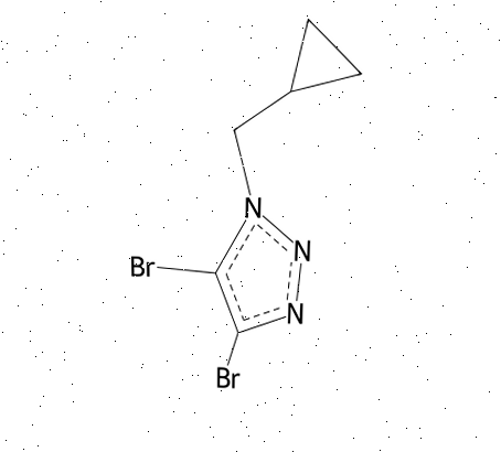 Brc1nnn(CC2CC2)c1Br